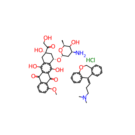 CN(C)CCC=C1c2ccccc2COc2ccccc21.COc1cccc2c1C(=O)c1c(O)c3c(c(O)c1C2=O)C[C@@](O)(C(=O)CO)C[C@@H]3O[C@H]1C[C@H](N)[C@H](O)[C@H](C)O1.Cl